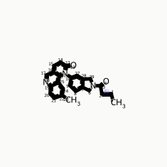 C/C=C/C(=O)N1Cc2ccc(-n3c(=O)ccc4cnc5ccc(C)cc5c43)cc2C1